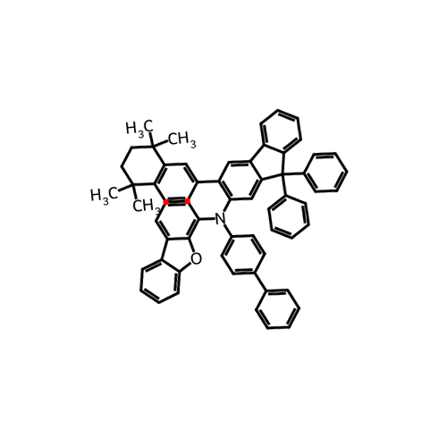 CC1(C)CCC(C)(C)c2cc(-c3cc4c(cc3N(c3ccc(-c5ccccc5)cc3)c3cccc5c3oc3ccccc35)C(c3ccccc3)(c3ccccc3)c3ccccc3-4)ccc21